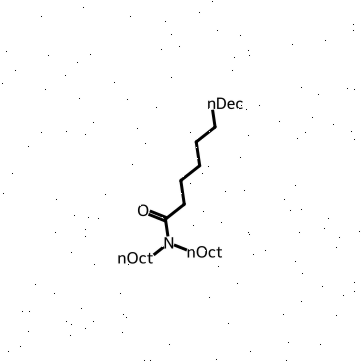 CCCCCCCCCCCCCCCC(=O)N(CCCCCCCC)CCCCCCCC